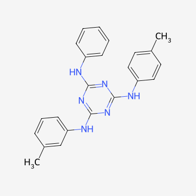 Cc1ccc(Nc2nc(Nc3ccccc3)nc(Nc3cccc(C)c3)n2)cc1